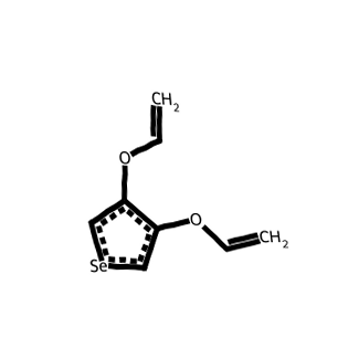 C=COc1c[se]cc1OC=C